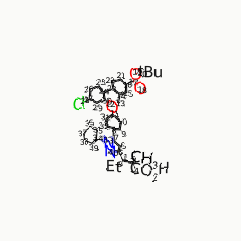 CCC(=C(C)C(=O)O)c1cc(-c2ccc(OCc3cc(C(=O)OC(C)(C)C)ccc3-c3ccc(Cl)cc3)cc2)n(C2CCCCC2)n1